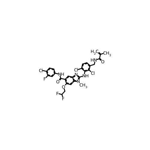 C=C(C)C(=O)NCc1ccc(Cl)c(Nc2nc3cc(C(=O)Nc4ccc(Cl)c(F)c4)c(OCC(F)F)cc3n2C)c1Cl